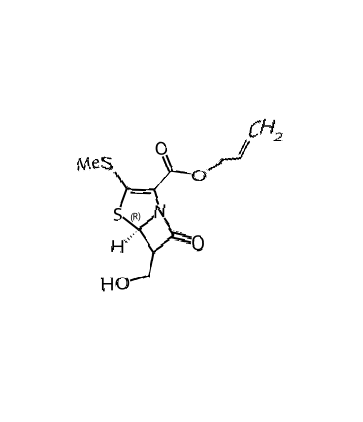 C=CCOC(=O)C1=C(SC)S[C@@H]2C(CO)C(=O)N12